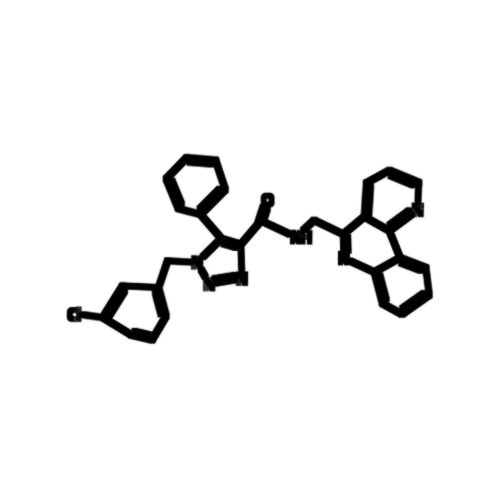 O=C(NCc1nc2ccccc2c2ncccc12)c1nnn(Cc2cccc(Cl)c2)c1-c1ccccc1